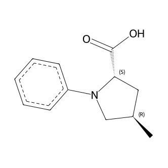 C[C@@H]1C[C@@H](C(=O)O)N(c2ccccc2)C1